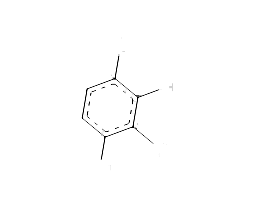 CC(C)c1ccc(Br)c(O)c1C(C)C